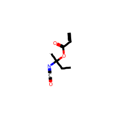 [CH2]C(CC)(N=C=O)OC(=O)C=C